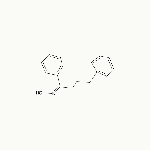 O/N=C(/CCCc1ccccc1)c1ccccc1